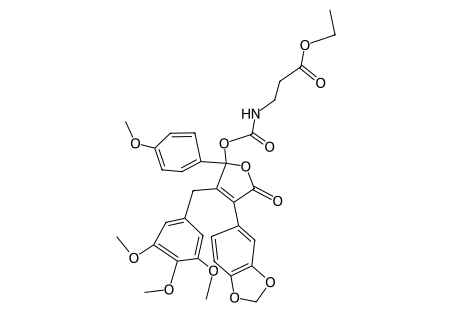 CCOC(=O)CCNC(=O)OC1(c2ccc(OC)cc2)OC(=O)C(c2ccc3c(c2)OCO3)=C1Cc1cc(OC)c(OC)c(OC)c1